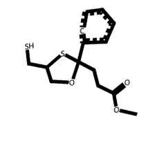 COC(=O)CCC1(c2ccccc2)OCC(CS)S1